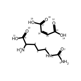 NC(=O)NCCCC(N)C(=O)O.O=C(O)/C=C\C(=O)O